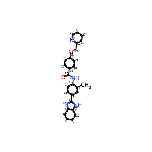 Cc1cc(-c2nc3ccccc3[nH]2)ccc1NC(=O)c1ccc(OCc2ccccn2)cc1